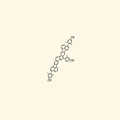 Cc1cc(C#N)ccc1-c1cc2c3cc4c(cc3ccc2c2cc3c(cc12)-c1ccc(-c2c(C)cc(C#N)cc2C)c2cccc-3c12)-c1ccc(-c2c(C)cc(C#N)cc2C)c2cccc-4c12